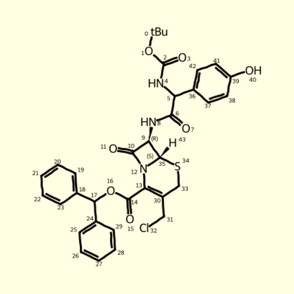 CC(C)(C)OC(=O)NC(C(=O)N[C@@H]1C(=O)N2C(C(=O)OC(c3ccccc3)c3ccccc3)=C(CCl)CS[C@@H]12)c1ccc(O)cc1